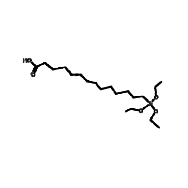 CCO[Si](CCCCCCCCCCCCCC(=O)O)(OCC)OCC